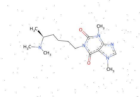 C[C@@H](CCCCn1c(=O)c2c(ncn2C)n(C)c1=O)N(C)C